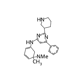 CNC1(C)C=CC=C(Nc2cc(-c3ccccc3)nc(C3CCCNC3)n2)C1